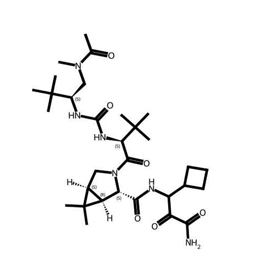 CC(=O)N(C)C[C@@H](NC(=O)N[C@H](C(=O)N1C[C@H]2[C@@H]([C@H]1C(=O)NC(C(=O)C(N)=O)C1CCC1)C2(C)C)C(C)(C)C)C(C)(C)C